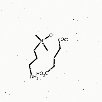 CCCCCCCCCCCC(=O)O.C[N+](C)([O-])CCCN